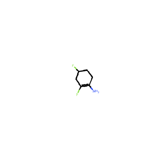 NC1=C(F)CC(F)CC1